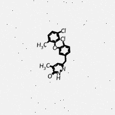 Cc1ccc(Cl)cc1Oc1cc(Cc2cc(C)c(=O)[nH]n2)ccc1Cl